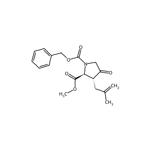 C=C(C)C[C@H]1C(=O)CN(C(=O)OCc2ccccc2)[C@@H]1C(=O)OC